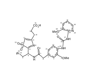 COc1cc(CC(=O)NC(CC(C)C)C2=NC(CCC(=O)O)=CS2(=O)=O)ccc1NC(=O)Nc1ncccc1OC